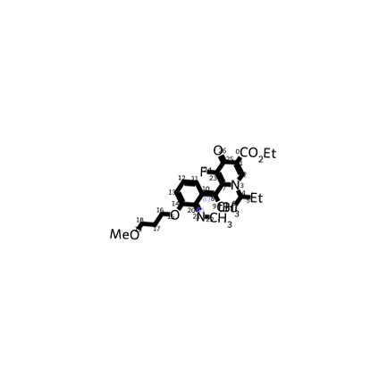 CCOC(=O)c1cn(C(CC)C(C)(C)C)c(/C(C)=C2\C=CC=C(OCCCOC)\C2=N\C)c(F)c1=O